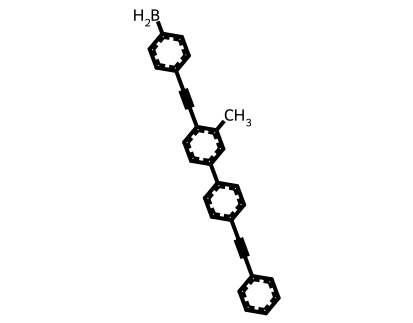 Bc1ccc(C#Cc2ccc(-c3ccc(C#Cc4ccccc4)cc3)cc2C)cc1